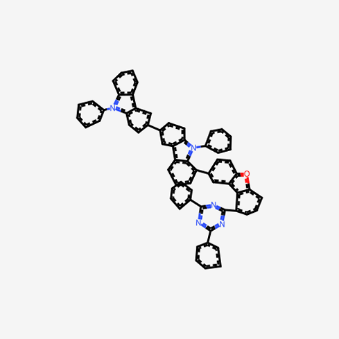 c1ccc(-c2nc(-c3ccccc3)nc(-c3cccc4oc5ccc(-c6cccc7c8cc(-c9ccc%10c(c9)c9ccccc9n%10-c9ccccc9)ccc8n(-c8ccccc8)c67)cc5c34)n2)cc1